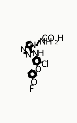 O=C(O)NCCn1ccc2ncnc(Nc3ccc(Oc4cccc(OCF)c4)c(Cl)c3)c21